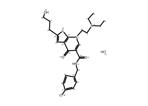 CCN(CC)CCn1cc(C(=O)NCc2ccc(Cl)cc2)c(=O)c2cc(CCCO)sc21.Cl